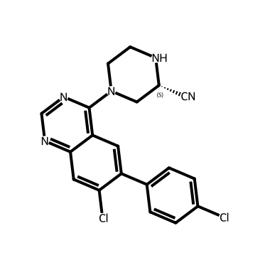 N#C[C@@H]1CN(c2ncnc3cc(Cl)c(-c4ccc(Cl)cc4)cc23)CCN1